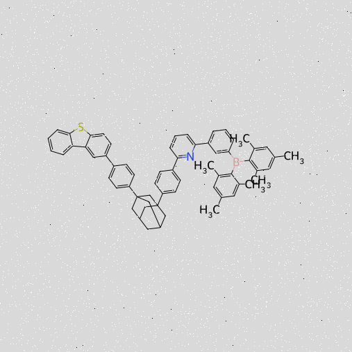 Cc1cc(C)c(B(c2cccc(-c3cccc(-c4ccc(C56CC7CC(CC(c8ccc(-c9ccc%10sc%11ccccc%11c%10c9)cc8)(C7)C5)C6)cc4)n3)c2)c2c(C)cc(C)cc2C)c(C)c1